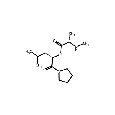 CN[C@@H](C)C(=O)N[C@@H](CC(C)C)C(=O)N1CCCC1